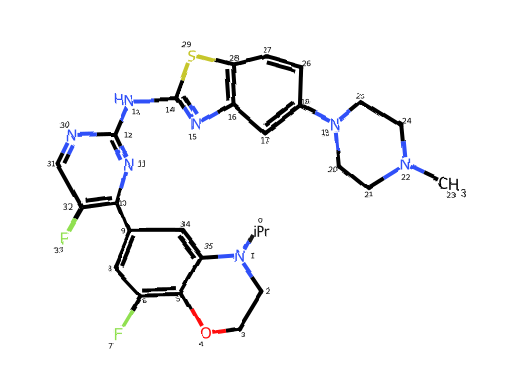 CC(C)N1CCOc2c(F)cc(-c3nc(Nc4nc5cc(N6CCN(C)CC6)ccc5s4)ncc3F)cc21